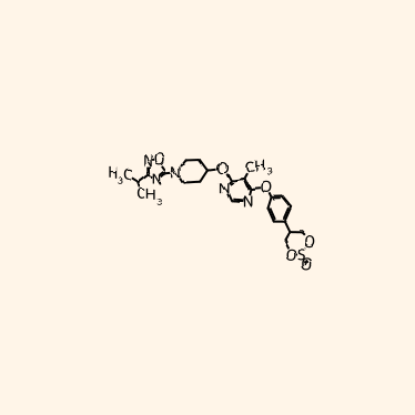 Cc1c(Oc2ccc(C3COS(=O)OC3)cc2)ncnc1OC1CCN(c2nc(C(C)C)no2)CC1